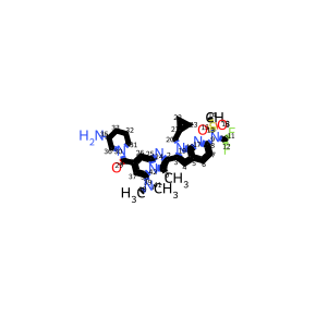 Cc1c(-c2cc3ccc(N(C(F)F)S(C)(=O)=O)nc3n2CC2CC2)nc2cc(C(=O)N3CCC[C@@H](N)C3)cc(N(C)C)n12